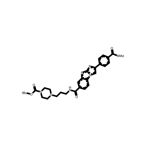 CNC(=O)c1ccc(-c2cn3c(n2)sc2cc(C(=O)NCCCN4CCN(C(=O)OC(C)(C)C)CC4)ccc23)cc1